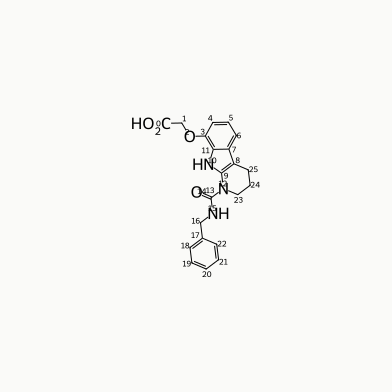 O=C(O)COc1cccc2c3c([nH]c12)N(C(=O)NCc1ccccc1)CCC3